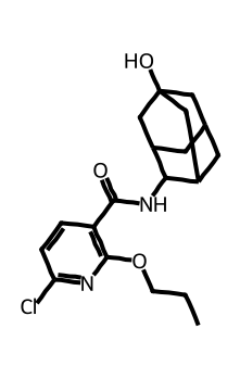 CCCOc1nc(Cl)ccc1C(=O)NC1C2CC3CC1CC(O)(C3)C2